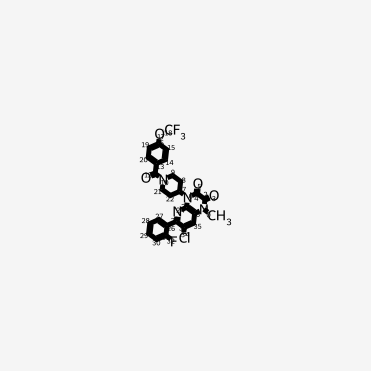 Cn1c(=O)c(=O)n(C2CCN(C(=O)c3ccc(OC(F)(F)F)cc3)CC2)c2nc(-c3ccccc3F)c(Cl)cc21